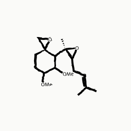 COC1CC[C@]2(CO2)C([C@@]2(C)OC2CC=C(C)C)C1OC